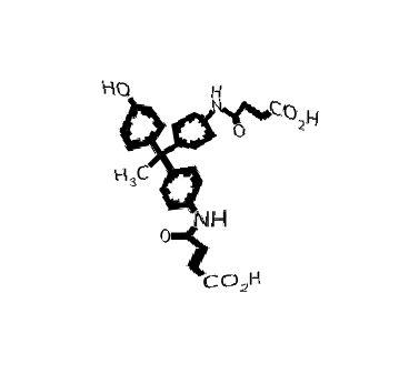 CC(c1ccc(O)cc1)(c1ccc(NC(=O)/C=C/C(=O)O)cc1)c1ccc(NC(=O)/C=C/C(=O)O)cc1